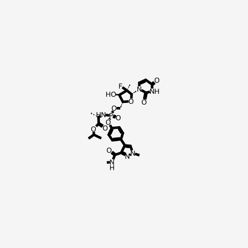 CNC(=O)c1nn(C)cc1-c1ccc(OP(=O)(N[C@@H](C)C(=O)OC(C)C)OC[C@H]2O[C@@H](n3ccc(=O)[nH]c3=O)[C@](C)(F)[C@@H]2O)cc1